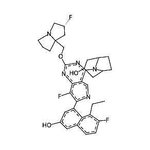 CCc1c(F)ccc2cc(O)cc(-c3ncc4c(N5C6CCC5CC(O)C6)nc(OCC56CCCN5C[C@H](F)C6)nc4c3F)c12